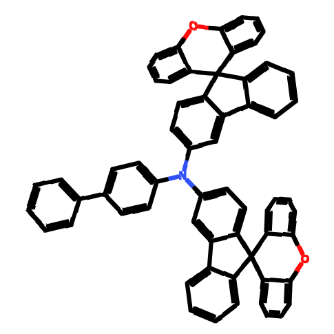 c1ccc(-c2ccc(N(c3ccc4c(c3)-c3ccccc3C43c4ccccc4Oc4ccccc43)c3ccc4c(c3)-c3ccccc3C43c4ccccc4Oc4ccccc43)cc2)cc1